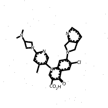 Cc1cc(N2CC(N(C)C)C2)ncc1-n1cc(C(=O)O)c(=O)c2cc(Cl)c(N3Cc4cccnc4C3)cc21